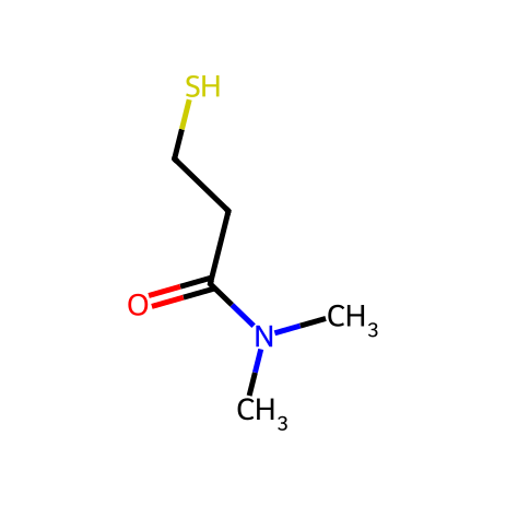 CN(C)C(=O)CCS